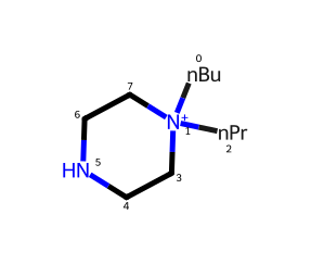 CCCC[N+]1(CCC)CCNCC1